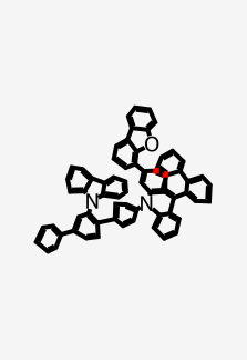 c1ccc(-c2ccc(-c3ccc(N(c4cccc(-c5cccc6c5oc5ccccc56)c4)c4ccccc4-c4cc5ccccc5c5ccccc45)cc3)c(-n3c4ccccc4c4ccccc43)c2)cc1